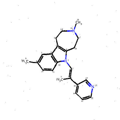 CC(=Cn1c2c(c3cc(C)ccc31)CCN(C)CC2)c1cccnc1